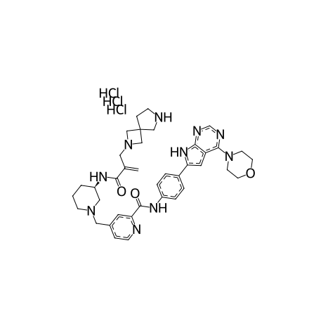 C=C(CN1CC2(CCNC2)C1)C(=O)N[C@@H]1CCCN(Cc2ccnc(C(=O)Nc3ccc(-c4cc5c(N6CCOCC6)ncnc5[nH]4)cc3)c2)C1.Cl.Cl.Cl